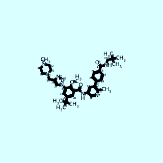 COc1c(C(=O)Nc2cnc(C)c(-c3ccc(C(=O)NCC(C)(C)C)cc3)c2)cc(C(C)(C)C)cc1-n1cc(CN2CCN(C)CC2)nn1